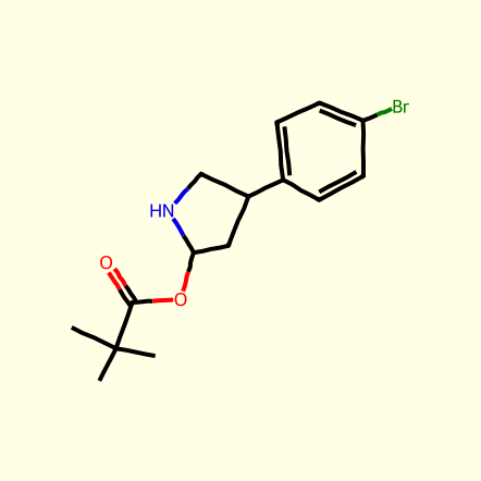 CC(C)(C)C(=O)OC1CC(c2ccc(Br)cc2)CN1